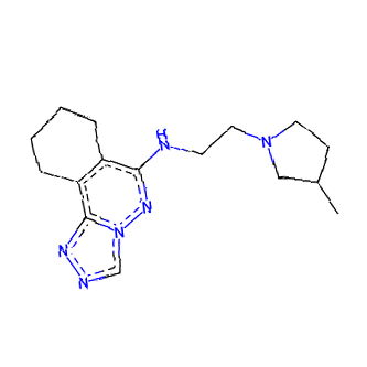 CC1CCN(CCNc2nn3cnnc3c3c2CCCC3)C1